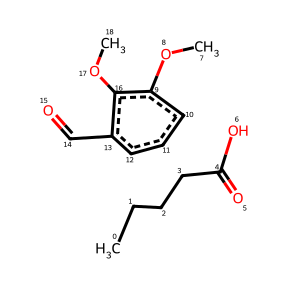 CCCCC(=O)O.COc1cccc(C=O)c1OC